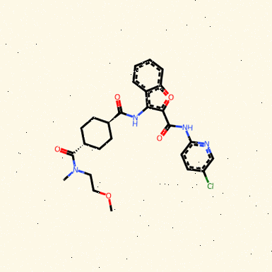 COCCN(C)C(=O)[C@H]1CC[C@H](C(=O)Nc2c(C(=O)Nc3ccc(Cl)cn3)oc3ccccc23)CC1